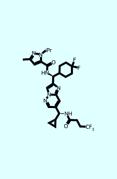 Cc1cc(C(=O)N[C@H](c2cn3ncc([C@H](NC(=O)CCC(F)(F)F)C4CC4)cc3n2)C2CCC(F)(F)CC2)n(C(C)C)n1